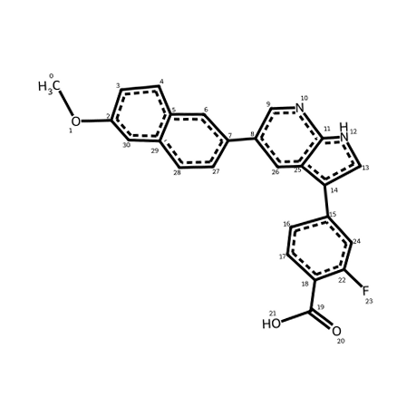 COc1ccc2cc(-c3cnc4[nH]cc(-c5ccc(C(=O)O)c(F)c5)c4c3)ccc2c1